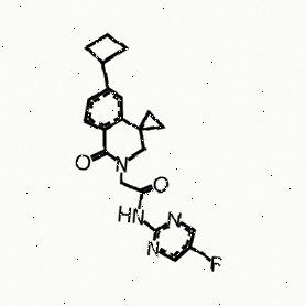 O=C(CN1CC2(CC2)c2cc(C3CCC3)ccc2C1=O)Nc1ncc(F)cn1